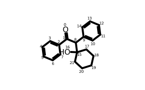 O=C(c1ccccc1)C(c1ccccc1)C1(O)CCCCC1